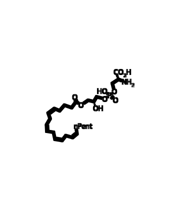 CCCCC/C=C\C/C=C\C/C=C\C/C=C\CCCC(=O)OC[C@@H](O)COP(=O)(O)OC[C@H](N)C(=O)O